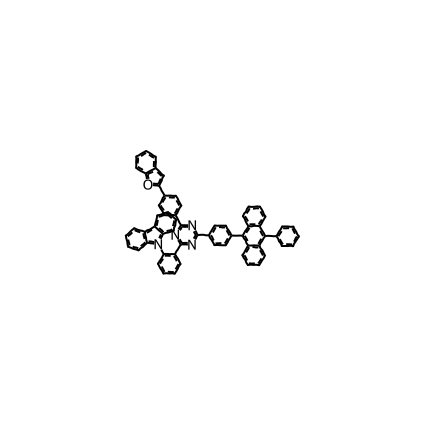 c1ccc(-c2c3ccccc3c(-c3ccc(-c4nc(-c5ccc(-c6cc7ccccc7o6)cc5)nc(-c5ccccc5-n5c6ccccc6c6ccccc65)n4)cc3)c3ccccc23)cc1